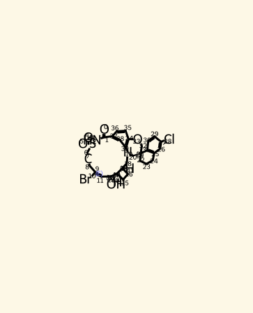 O=C1NS(=O)(=O)CCC/C(Br)=C\[C@H](O)[C@@H]2CC[C@H]2CN2C[C@@]3(CCCc4cc(Cl)ccc43)COc3ccc1cc32